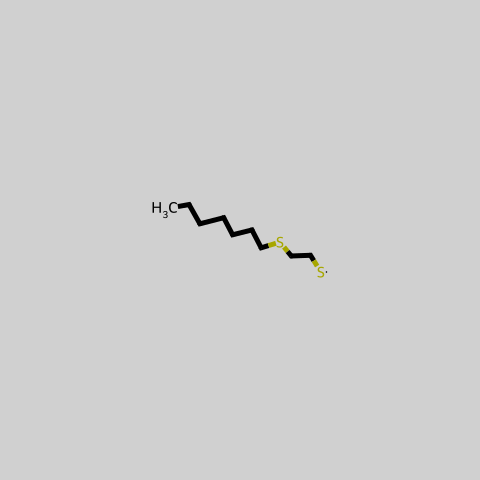 CCCCCCCSCC[S]